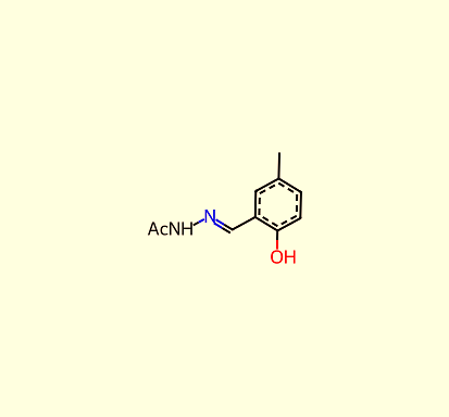 CC(=O)NN=Cc1cc(C)ccc1O